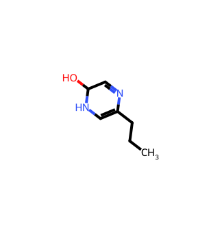 CCCC1=CNC(O)C=N1